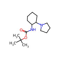 CC(C)(C)OC(=O)NC1CCCCC1N1CCCC1